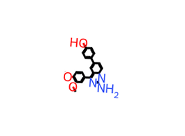 COc1ccc(-c2nc(N)nc3ccc(-c4ccc(O)cc4)cc23)cc1OC